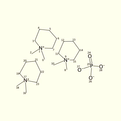 C[N+]1(C)CCCCC1.C[N+]1(C)CCCCC1.C[N+]1(C)CCCCC1.O=P([O-])([O-])[O-]